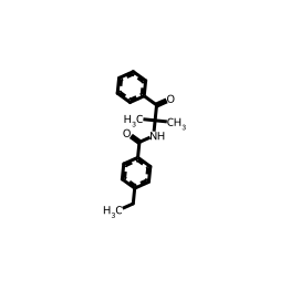 CCc1ccc(C(=O)NC(C)(C)C(=O)c2ccccc2)cc1